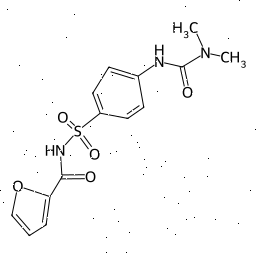 CN(C)C(=O)Nc1ccc(S(=O)(=O)NC(=O)c2ccco2)cc1